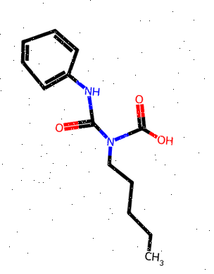 CCCCCN(C(=O)O)C(=O)Nc1ccccc1